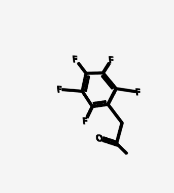 CC(=O)Cc1c(F)c(F)c(F)c(F)c1F